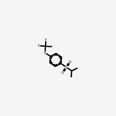 CC(C)S(=O)(=O)c1ccc(OC(F)(F)F)cc1